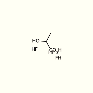 CC(O)C(=O)O.F.F.F